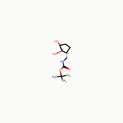 CC(C)(C)OC(=O)NC[C@H]1CC[C@H](O)[C@@H]1O